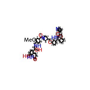 COc1cc(C(=O)N2CCC(COc3cccc(C(NC(=O)O[C@H]4CN5CCC4CC5)c4ccccc4)c3)CC2)ccc1CNC[C@@H](O)c1ccc(O)c2[nH]c(=O)ccc12